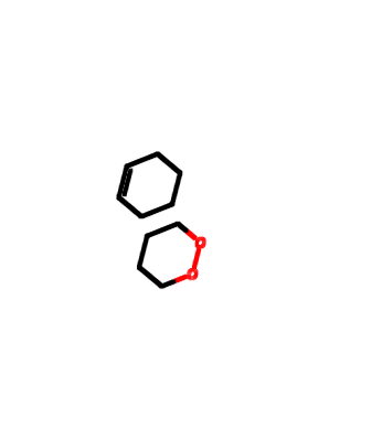 C1=CCCCC1.C1CCOOC1